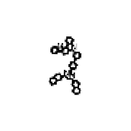 c1cc(-c2ccc(-c3nc(-c4ccc5ccccc5c4)cc(-c4ccc5ccccc5c4)n3)cc2)cc(-c2nc3ccccc3c3c2ccc2c4ccccc4oc23)c1